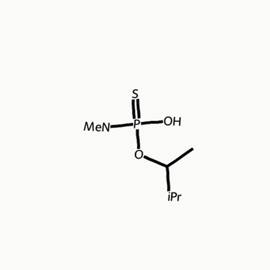 CNP(O)(=S)OC(C)C(C)C